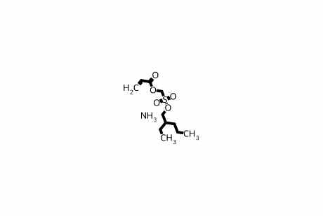 C=CC(=O)OCS(=O)(=O)OCC(CC)CCC.N